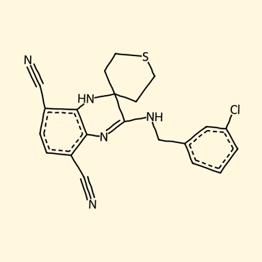 N#Cc1ccc(C#N)c2c1N=C(NCc1cccc(Cl)c1)C1(CCSCC1)N2